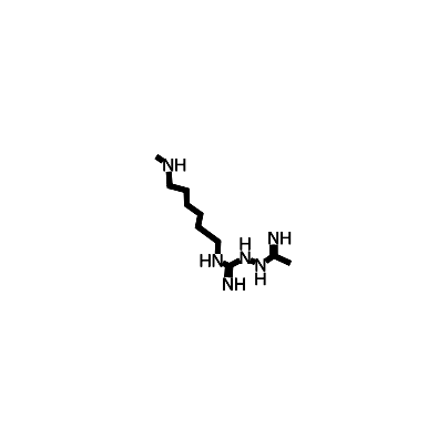 CNCCCCCCNC(=N)NNC(C)=N